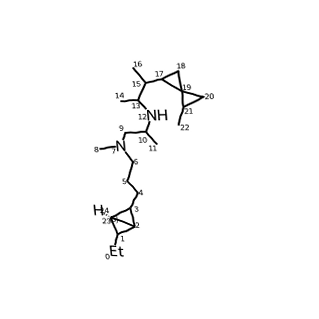 CCC1C2C(CCCN(C)CC(C)NC(C)C(C)C3CC34CC4C)[C@H]12